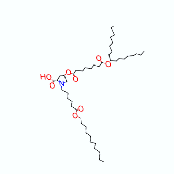 CCCCCCCCCCCOC(=O)CCCCCN1CC(OC(=O)CCCCCCC(=O)OC(CCCCCCCC)CCCCCCCC)C[C@H]1C(=O)O